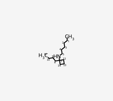 CCCCCCNC1(CCCC)CCC1